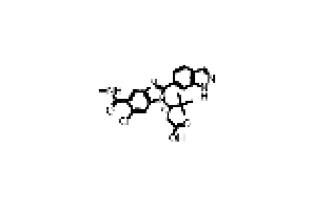 CNC(=O)c1cc2nc(-c3ccc4cn[nH]c4c3)n([C@H](CC(=O)O)C(C)(C)C)c2cc1Cl